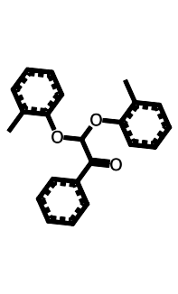 Cc1ccccc1OC(Oc1ccccc1C)C(=O)c1ccccc1